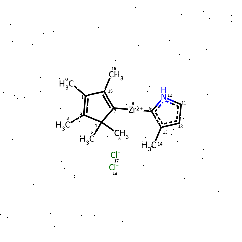 CC1=C(C)C(C)(C)[C]([Zr+2][c]2[nH]ccc2C)=C1C.[Cl-].[Cl-]